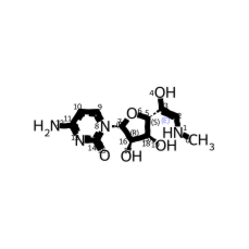 CN/C=C(/O)[C@H]1O[C@@H](n2ccc(N)nc2=O)[C@H](O)[C@@H]1O